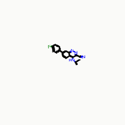 CC(C)Nc1c(C#N)nnc2cc(-c3ccc(F)cc3)ccc12